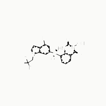 O=c1[nH]c2c(S(=O)(=O)c3cc(F)c4ccn(CC(F)(F)F)c4c3)cccc2c(=O)n1O